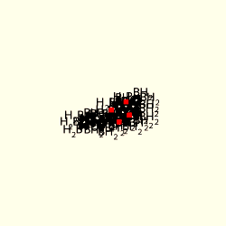 Bc1c(B)c(-c2c3c(B)c(B)c(B)c(B)c3c(-c3c(B)c4c(B)c(B)c(B)c(B)c4c4c(B)c(B)c(B)c(B)c34)c3c(B)c(B)c(B)c(B)c23)c(B)c(B)c1-c1c(B)c(B)c2oc3c4c(B)c(B)c(B)c(B)c4c(B)c(B)c3c2c1B